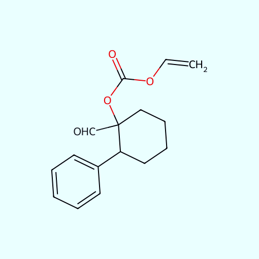 C=COC(=O)OC1(C=O)CCCCC1c1ccccc1